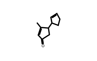 CC1=CC(=O)CC1C1C=CCC1